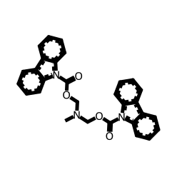 CN(COC(=O)n1c2ccccc2c2ccccc21)COC(=O)n1c2ccccc2c2ccccc21